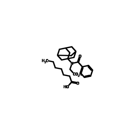 CCCCCCC(=O)O.O=C(O)CN(C(=O)c1ccccc1)C12CC3CC(CC(C3)C1)C2